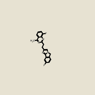 Cc1nc(CCc2cn3c(n2)-c2cc(F)ccc2C3)nc2c(F)cccc12